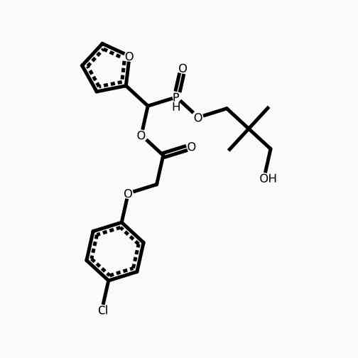 CC(C)(CO)CO[PH](=O)C(OC(=O)COc1ccc(Cl)cc1)c1ccco1